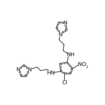 O=[N+]([O-])c1cc(Cl)c(NCCCn2ccnc2)cc1NCCCn1ccnc1